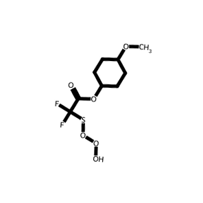 COC1CCC(OC(=O)C(F)(F)SOOO)CC1